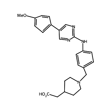 COc1ccc(-c2cnc(Nc3ccc(CN4CCC(CC(=O)O)CC4)cc3)nc2)cc1